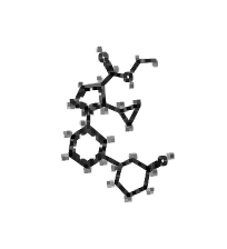 CCOC(=O)c1cnn(-c2cccc(C3CCCC(=O)C3)c2)c1C1CC1